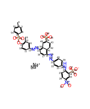 Cc1ccc(S(=O)(=O)Oc2ccc(N=Nc3ccc(N=Nc4ccc(Nc5ccc([N+](=O)[O-])cc5S(=O)(=O)[O-])cc4)c4ccc(S(=O)(=O)[O-])cc34)cc2C)cc1.[Na+].[Na+]